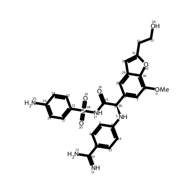 COc1cc([C@@H](Nc2ccc(C(=N)N)cc2)C(=O)NS(=O)(=O)c2ccc(N)cc2)cc2cc(CCO)oc12